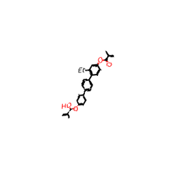 C=C(C)C(=O)Oc1ccc(-c2ccc(-c3ccc(OC(O)C(=C)C)cc3)cc2)c(CC)c1